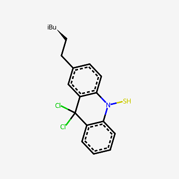 CC[C@H](C)CCc1ccc2c(c1)C(Cl)(Cl)c1ccccc1N2S